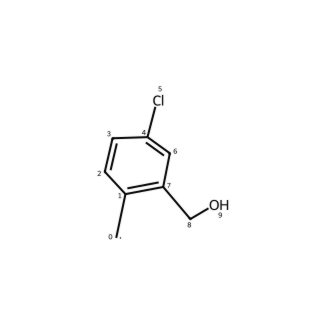 [CH2]c1ccc(Cl)cc1CO